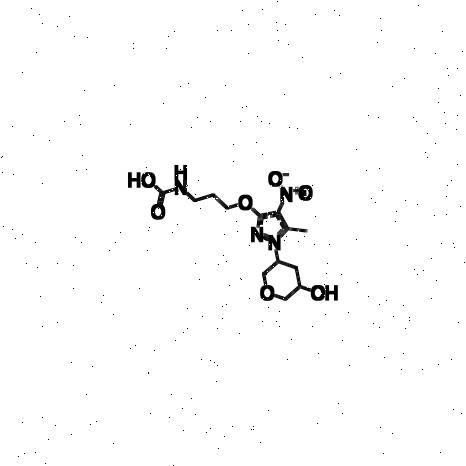 Cc1c([N+](=O)[O-])c(OCCCNC(=O)O)nn1C1COCC(O)C1